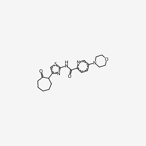 O=C(Nc1nc(C2CCCCCC2=O)cs1)c1ccc(N2CCOCC2)cn1